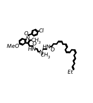 CCC=CCC=CC/C=C\C/C=C\C/C=C\C/C=C\CCC(=O)NCCN(C)CCNC(=O)Cc1c(C)n(C(=O)c2ccc(Cl)cc2)c2ccc(OC)cc12